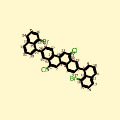 Clc1cc2c3ccc(-c4cccc5cccc(Br)c45)cc3c(Cl)cc2c2ccc(-c3cccc4cccc(Br)c34)cc12